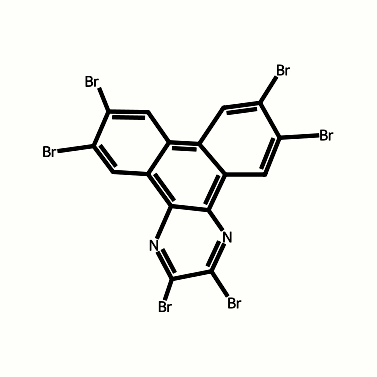 Brc1cc2c3cc(Br)c(Br)cc3c3nc(Br)c(Br)nc3c2cc1Br